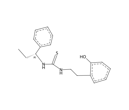 CC[C@@H](NC(=S)NCCc1ccccc1O)c1ccccc1